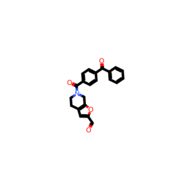 O=Cc1cc2c(o1)CN(C(=O)c1ccc(C(=O)c3ccccc3)cc1)CC2